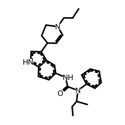 CCCN1C=CC(c2c[nH]c3ccc(NC(=O)N(c4ccccc4)C(C)CC)cc23)CC1